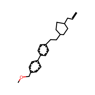 C=CCC1CCC(CCc2ccc(-c3ccc(COC)cc3)cc2)CC1